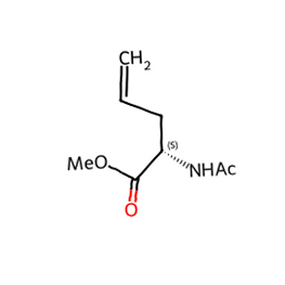 C=CC[C@H](NC(C)=O)C(=O)OC